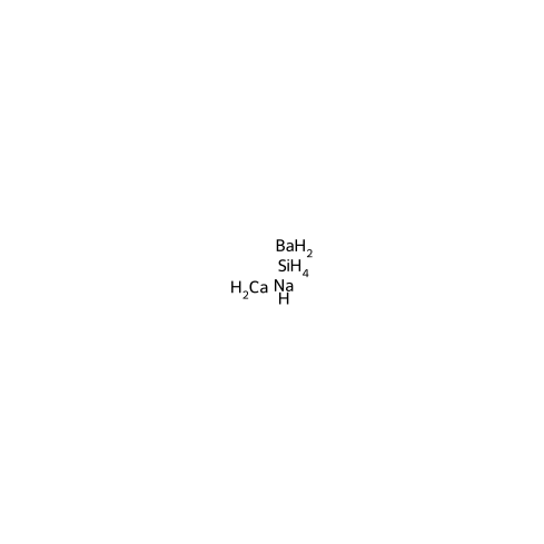 [BaH2].[CaH2].[NaH].[SiH4]